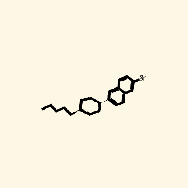 CCCCC[C@H]1CC[C@H](c2ccc3cc(Br)ccc3c2)CC1